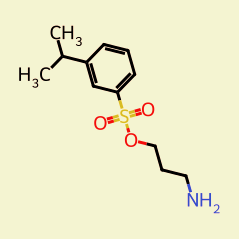 CC(C)c1cccc(S(=O)(=O)OCCCN)c1